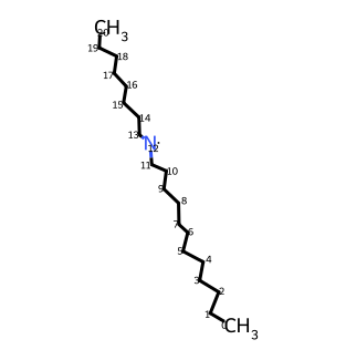 CCCCCCCCCCCC[N]CCCCCCCC